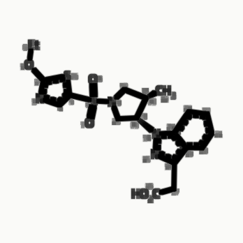 CCOc1ncc(S(=O)(=O)N2C[C@@H](C)[C@@H](n3nc(CC(=O)O)c4ccccc43)C2)s1